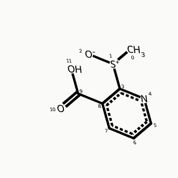 C[S+]([O-])c1ncccc1C(=O)O